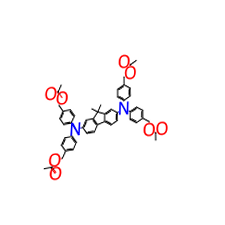 CC(=O)OCc1ccc(N(c2ccc(COC(C)=O)cc2)c2ccc3c(c2)C(C)(C)c2cc(N(c4ccc(COC(C)=O)cc4)c4ccc(COC(C)=O)cc4)ccc2-3)cc1